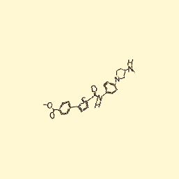 CNC1CCN(c2ccc(NC(=O)c3ccc(-c4ccc(C(=O)OC)cc4)s3)cc2)C1